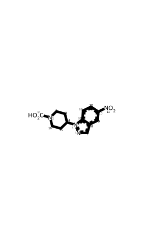 O=C(O)N1CCC(n2ncc3cc([N+](=O)[O-])ccc32)CC1